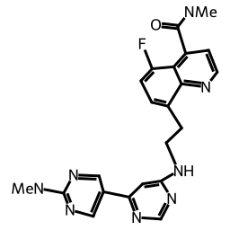 CNC(=O)c1ccnc2c(CCNc3cc(-c4cnc(NC)nc4)ncn3)ccc(F)c12